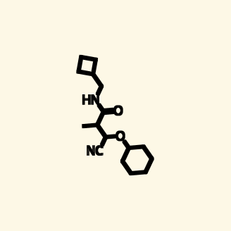 CC(C(=O)NCC1CCC1)C(C#N)OC1CCCCC1